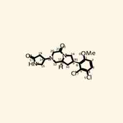 COc1ccc(Cl)c(Cl)c1[C@H]1C[C@H]2CN(C3CNC(=O)C3)CC(=O)N2C1